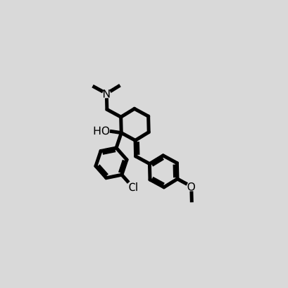 COc1ccc(C=C2CCCC(CN(C)C)C2(O)c2cccc(Cl)c2)cc1